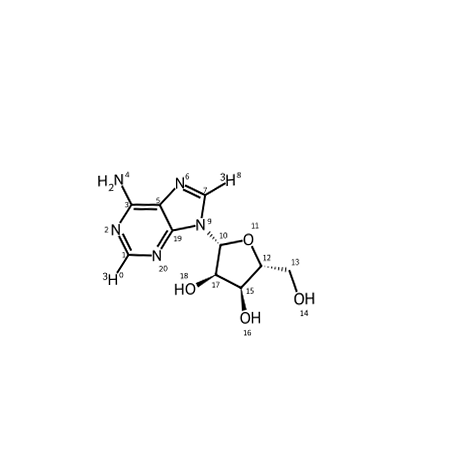 [3H]c1nc(N)c2nc([3H])n([C@@H]3O[C@H](CO)[C@@H](O)[C@H]3O)c2n1